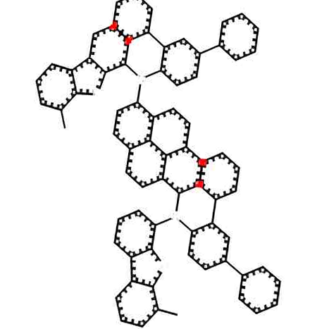 CC(C)c1cccc2c1oc1c(N(c3ccc(-c4ccccc4)cc3-c3ccccc3)c3ccc4ccc5c(N(c6ccc(-c7ccccc7)cc6-c6ccccc6)c6cccc7c6oc6c(C(C)C)cccc67)ccc6ccc3c4c65)cccc12